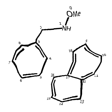 CONCc1ccccc1.c1ccc2ccccc2c1